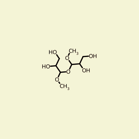 COC(OC(OC)C(O)CO)C(O)CO